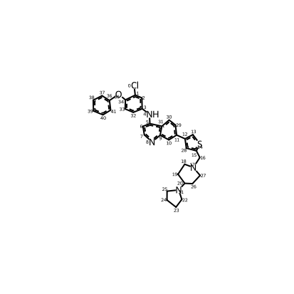 Clc1cc(Nc2ccnc3cc(-c4csc(CN5CCC(N6CCCC6)CC5)c4)ccc23)ccc1Oc1ccccc1